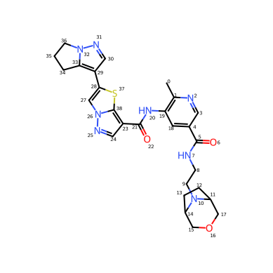 Cc1ncc(C(=O)NCCN2C3CCC2COC3)cc1NC(=O)c1cnn2cc(-c3cnn4c3CCC4)sc12